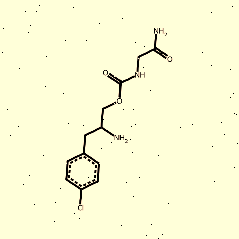 NC(=O)CNC(=O)OCC(N)Cc1ccc(Cl)cc1